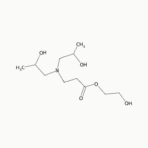 CC(O)CN(CCC(=O)OCCO)CC(C)O